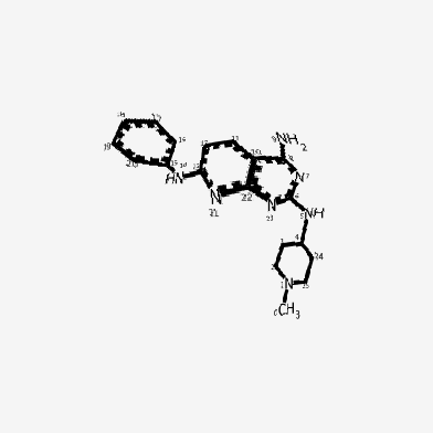 CN1CCC(Nc2nc(N)c3ccc(Nc4ccccc4)nc3n2)CC1